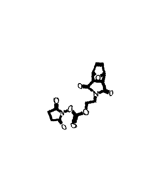 O=C(OCCN1C(=O)C2C3C=CC(O3)C2C1=O)ON1C(=O)CCC1=O